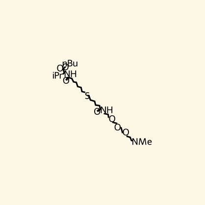 CCCCOC(=O)C(NC(=O)CCCCCCCSCCCCCC(=O)NCCCOCCOCCOCCCNC)C(C)C